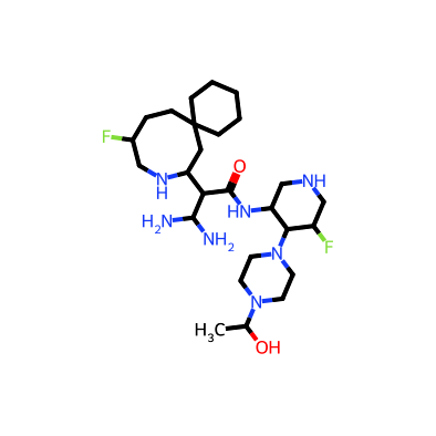 CC(O)N1CCN(C2C(F)CNCC2NC(=O)C(C(N)N)C2CC3(CCCCC3)CCC(F)CN2)CC1